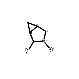 CC(C)C1C2CC2CN1C(C)C